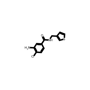 Nc1cc(C(=O)NCc2ccsc2)ccc1Cl